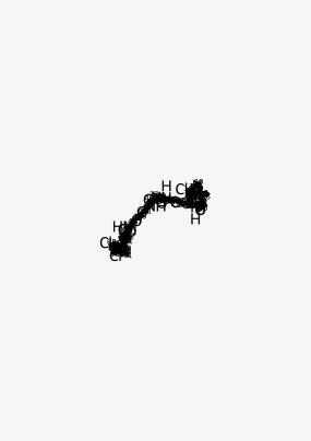 C=C(CC/C(=C\C)C1CN(C)Cc2c(Cl)cc(Cl)cc21)S(=O)(=O)NCCOCCOCCNC(=O)CN(C)CC(=O)NCCOCCOCCNS(=O)(=O)c1ccc(C2CN(C)Cc3c(Cl)cc(Cl)cc32)cc1